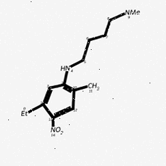 CCc1cc(NCCCCNC)c(C)cc1[N+](=O)[O-]